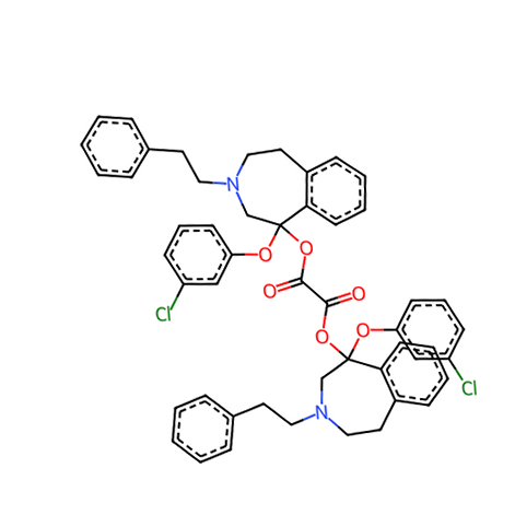 O=C(OC1(Oc2cccc(Cl)c2)CN(CCc2ccccc2)CCc2ccccc21)C(=O)OC1(Oc2cccc(Cl)c2)CN(CCc2ccccc2)CCc2ccccc21